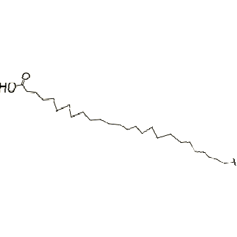 O=C(O)CCCCCCCCCCCCCCCCCCCCCCCCCI